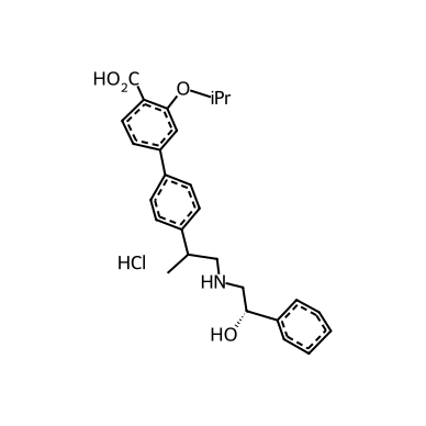 CC(C)Oc1cc(-c2ccc(C(C)CNC[C@@H](O)c3ccccc3)cc2)ccc1C(=O)O.Cl